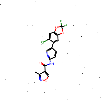 Cc1nocc1C(=O)Nc1ccc(-c2cc3c(cc2Cl)OC(F)(F)O3)cn1